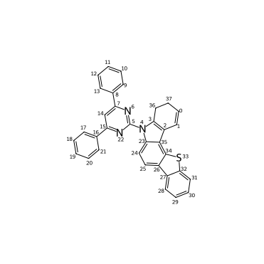 C1=Cc2c(n(-c3nc(-c4ccccc4)cc(-c4ccccc4)n3)c3ccc4c5ccccc5sc4c23)CC1